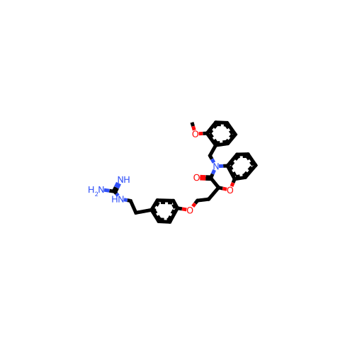 COc1ccccc1CN1C(=O)C(CCOc2ccc(CCNC(=N)N)cc2)Oc2ccccc21